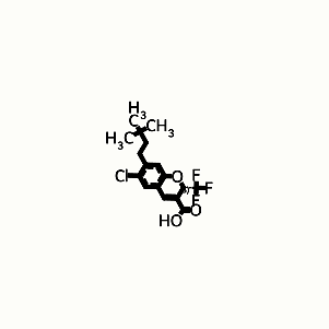 CC(C)(C)CCc1cc2c(cc1Cl)C=C(C(=O)O)[C@@H](C(F)(F)F)O2